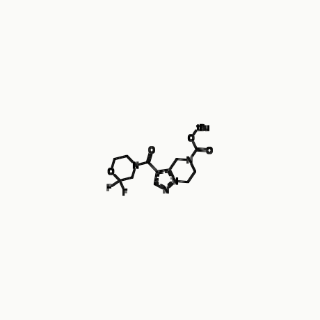 CC(C)(C)OC(=O)N1CCn2ncc(C(=O)N3CCOC(F)(F)C3)c2C1